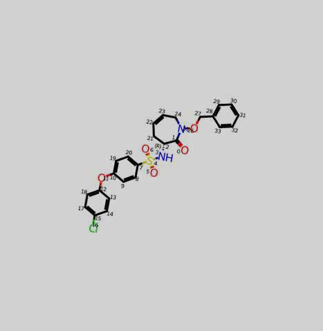 O=C1[C@H](NS(=O)(=O)c2ccc(Oc3ccc(Cl)cc3)cc2)CC=CCN1OCc1ccccc1